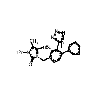 CCCCc1c(C)n(CCC)c(=O)n1Cc1ccc(-c2ccccc2)c(-c2nnn[nH]2)c1